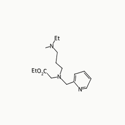 CCOC(=O)CN(CCCN(C)CC)Cc1ccccn1